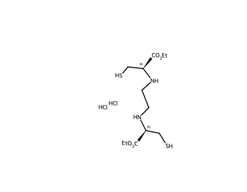 CCOC(=O)[C@H](CS)NCCN[C@@H](CS)C(=O)OCC.Cl.Cl